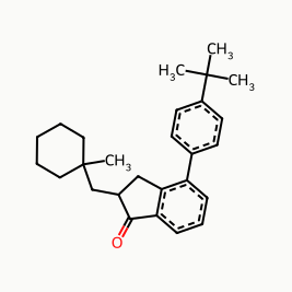 CC1(CC2Cc3c(cccc3-c3ccc(C(C)(C)C)cc3)C2=O)CCCCC1